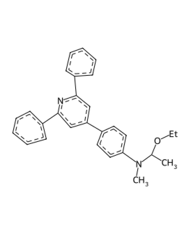 CCOC(C)N(C)c1ccc(-c2cc(-c3ccccc3)nc(-c3ccccc3)c2)cc1